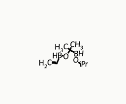 C=CBOC(C)(C)BOC(C)C